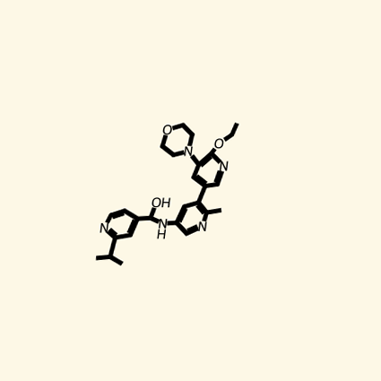 CCOc1ncc(-c2cc(NC(O)c3ccnc(C(C)C)c3)cnc2C)cc1N1CCOCC1